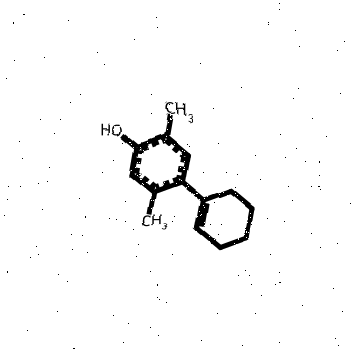 Cc1cc(C2=CCCCC2)c(C)cc1O